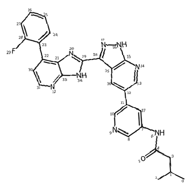 CC(C)CC(=O)Nc1cncc(-c2cnc3[nH]nc(-c4nc5c(-c6ccccc6F)ccnc5[nH]4)c3c2)c1